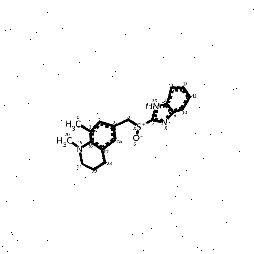 Cc1cc(C[S+]([O-])c2nc3ccccc3[nH]2)cc2c1N(C)CCC2